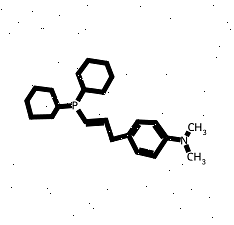 CN(C)c1ccc(CC=CP(C2CCCCC2)C2CCCCC2)cc1